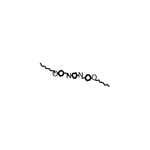 CCCCCCCOc1ccc(/C=N/c2ccc(/N=C/c3ccc(OCCCCCCC)cc3)cc2)cc1